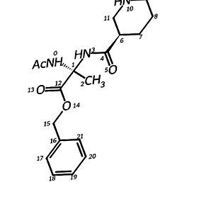 CC(=O)N[C@@](C)(NC(=O)[C@@H]1CCCNC1)C(=O)OCc1ccccc1